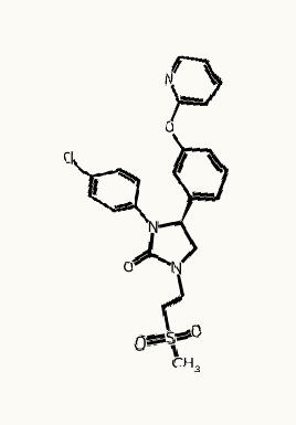 CS(=O)(=O)CCN1C[C@H](c2cccc(Oc3ccccn3)c2)N(c2ccc(Cl)cc2)C1=O